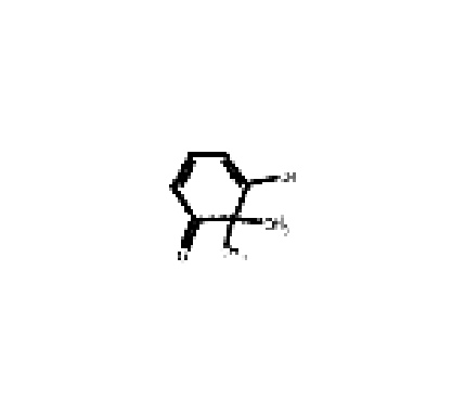 CC1(C)C(=O)C=CC=C1O